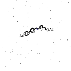 CC(=O)OCCc1ccc(/C=C/c2ccc(N3CCN(C(C)=O)CC3)cn2)s1